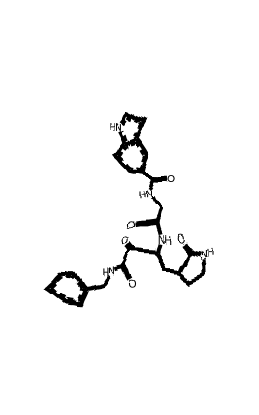 O=C(CNC(=O)c1ccc2[nH]ccc2c1)NC(CC1CCNC1=O)C(=O)C(=O)NCc1ccccc1